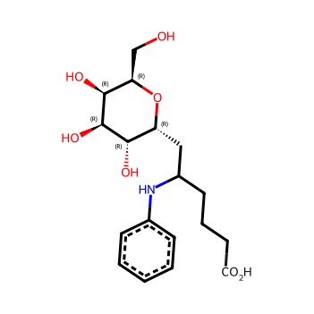 O=C(O)CCCC(C[C@H]1O[C@H](CO)[C@H](O)[C@H](O)[C@H]1O)Nc1ccccc1